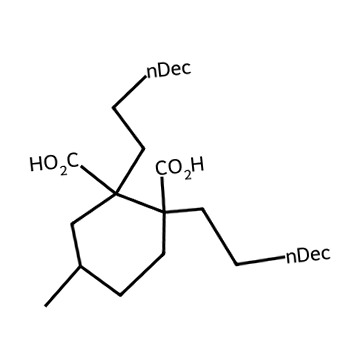 CCCCCCCCCCCCC1(C(=O)O)CCC(C)CC1(CCCCCCCCCCCC)C(=O)O